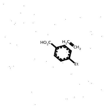 C=C.CCc1ccc(C(=O)O)cc1